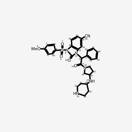 COc1ccc(S(=O)(=O)n2c(=O)n(C(C(=O)N3CCC(NC4CCNCC4)C3)c3ccccc3)c3cc(C#N)ccc32)cc1